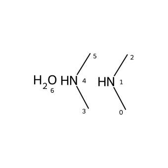 CNC.CNC.O